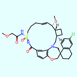 COCC(=O)N[S@@]1(=O)=NC(=O)c2ccc3c(c2)N(C[C@@H]2CC[C@H]2[C@@H](OC)/C=C/CCC1)C[C@@]1(CCCc2cc(Cl)ccc21)CO3